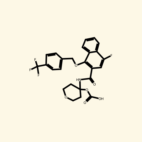 O=C(O)OC1(NC(=O)c2cc(F)c3ccccc3c2OCc2ccc(C(F)(F)F)cc2)CCOCC1